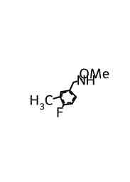 CONCc1ccc(F)c(C)c1